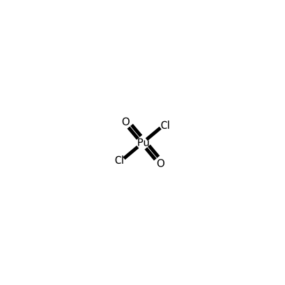 [O]=[Pu](=[O])([Cl])[Cl]